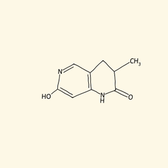 CC1Cc2cnc(O)cc2NC1=O